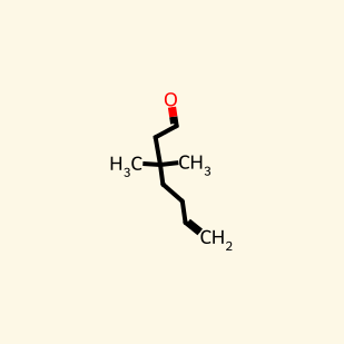 C=CCCC(C)(C)CC=O